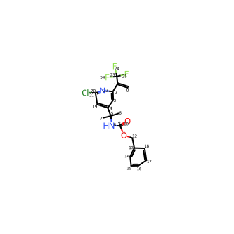 C=C(c1cc(C(C)(C)NC(=O)OCc2ccccc2)cc(Cl)n1)C(F)(F)F